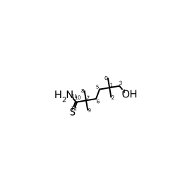 CC(C)(CO)CCC(C)(C)C(N)=S